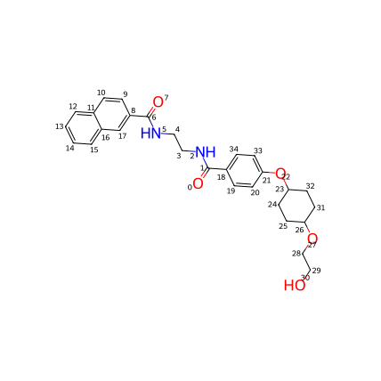 O=C(NCCNC(=O)c1ccc2ccccc2c1)c1ccc(OC2CCC(OCCO)CC2)cc1